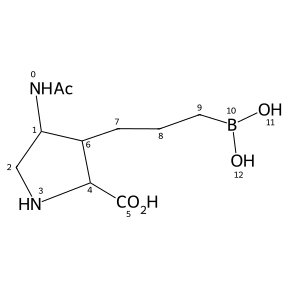 CC(=O)NC1CNC(C(=O)O)C1CCCB(O)O